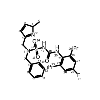 CC1C=CC(CN(Cc2ccccc2)S(=O)(=O)NC(=O)Nc2c(C(C)C)cc(F)cc2C(C)C)=N1